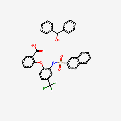 O=C(O)c1ccccc1Oc1ccc(C(F)(F)F)cc1NS(=O)(=O)c1ccc2ccccc2c1.OC(c1ccccc1)c1ccccc1